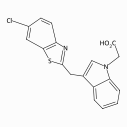 O=C(O)Cn1cc(Cc2nc3ccc(Cl)cc3s2)c2ccccc21